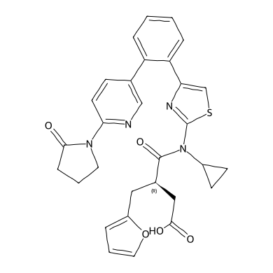 O=C(O)C[C@@H](Cc1ccco1)C(=O)N(c1nc(-c2ccccc2-c2ccc(N3CCCC3=O)nc2)cs1)C1CC1